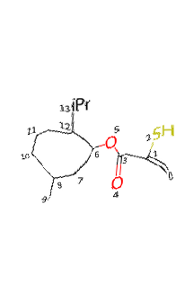 C=C(S)C(=O)OC1CC(C)CCC1C(C)C